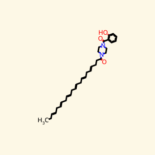 CCC=CCC=CCC=CCC=CCC=CCC=CCCC(=O)N1CCN(C(=O)c2ccccc2O)CC1